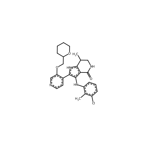 Cc1c(Cl)cccc1Nc1c(-c2ccncc2OCC2CCCCO2)[nH]c2c1C(=O)NCC2C